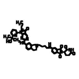 C=CCn1c(=O)c2cnc(Nc3ccc4c(c3)CN(CCCCNc3ccc5c(c3)C(=O)N(C3CCC(=O)NC3=O)C5=O)CC4)nc2n1-c1cccc(C(C)(C)O)n1